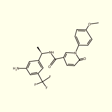 COc1ccc(-n2cc(C(=O)N[C@H](C)c3cc(N)cc(C(F)(F)F)c3)ccc2=O)cc1